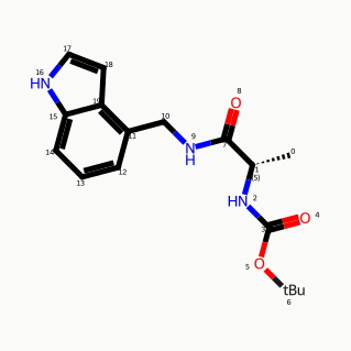 C[C@H](NC(=O)OC(C)(C)C)C(=O)NCc1cccc2[nH]ccc12